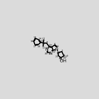 [CH2][C@H]1C[C@@H](n2ccc3c(CC(C)(C)c4ccccc4)ncnc32)C[C@@H]1O